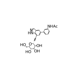 CC(=O)Nc1cccc(-c2cc(C#C[C@H]3O[C@H](CO)[C@@H](O)[C@H](O)[C@@H]3O)c3[nH]ncc3c2)c1